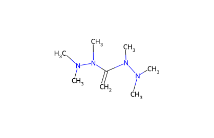 C=C(N(C)N(C)C)N(C)N(C)C